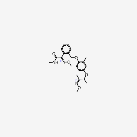 CNC(=O)/C(=N/OC)c1ccccc1COc1ccc(OC(C)/C(C)=N\OC)cc1C